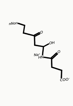 CCCCCCCCCCCC(=O)CC(O)NC(=O)CCC(=O)[O-].[Na+]